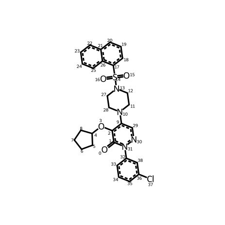 O=c1c(OC2CCCC2)c(N2CCN(S(=O)(=O)c3cccc4ccccc34)CC2)cnn1-c1cccc(Cl)c1